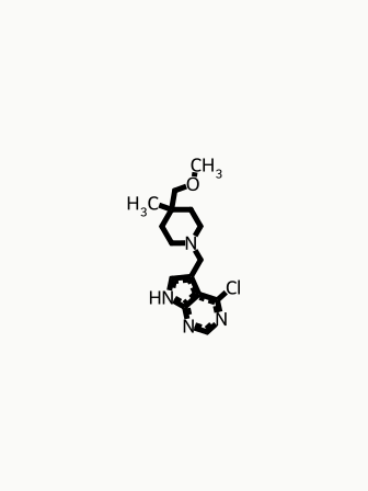 COCC1(C)CCN(Cc2c[nH]c3ncnc(Cl)c23)CC1